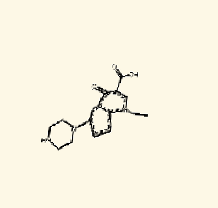 CCn1cc(C(=O)O)c(=O)c2cc(N3CCNCC3)ccc21